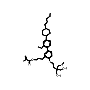 C=C(C)C(=O)OCCCc1cc(-c2ccc(C3CCC(CCCCC)CC3)cc2CC)ccc1OCCC(CO)(CO)COC